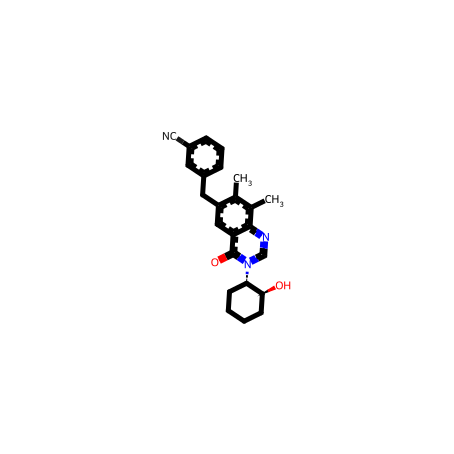 Cc1c(Cc2cccc(C#N)c2)cc2c(=O)n([C@H]3CCCC[C@@H]3O)cnc2c1C